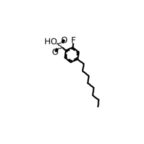 CCCCCCCCc1ccc(S(=O)(=O)O)c(F)c1